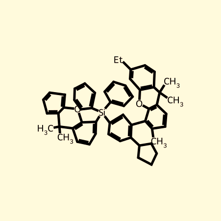 CCc1ccc2c(c1)Oc1c(ccc(C)c1-c1cc([Si](c3ccccc3)(c3ccccc3)c3cccc4c3Oc3ccccc3C4(C)C)ccc1C1CCCC1)C2(C)C